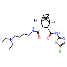 CCN(CC)CCCCNC(=O)[C@H]1[C@H](C(=O)Nc2ncc(Br)s2)[C@@H]2C=C[C@H]1C21CC1